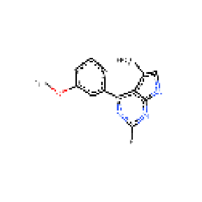 CCc1nc(-c2cccc(OC(F)(F)F)c2)c2c(C(=O)O)c[nH]c2n1